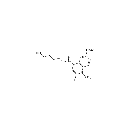 COc1ccc2c(c1)C(NCCCCCO)C=C(I)N2C